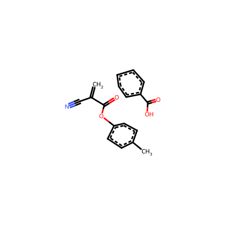 C=C(C#N)C(=O)Oc1ccc(C)cc1.O=C(O)c1ccccc1